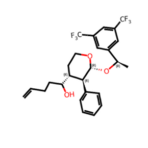 C=CCCC(O)[C@@H]1CCO[C@H](O[C@H](C)c2cc(C(F)(F)F)cc(C(F)(F)F)c2)[C@H]1c1ccccc1